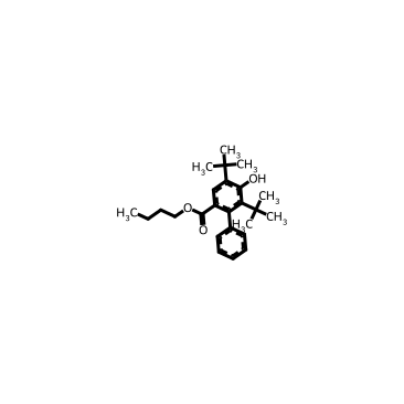 CCCCOC(=O)c1cc(C(C)(C)C)c(O)c(C(C)(C)C)c1-c1ccccc1